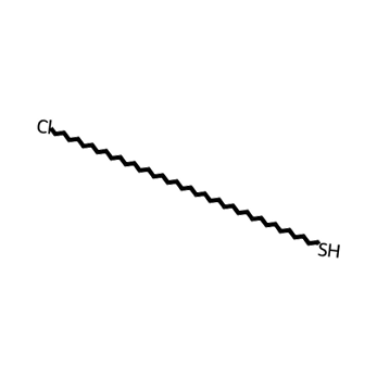 SCCCCCCCCCCCCCCCCCCCCCCCCCCCCCCCCCCCCCCCl